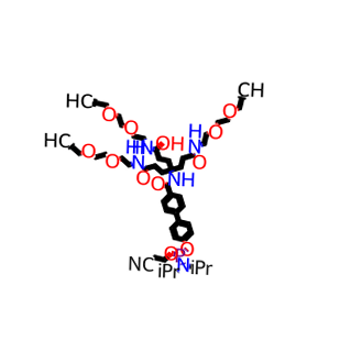 C#CCOCCOCCNC(=O)CCC(CCC(=O)NCCOCCOCC#C)(CCC(O)NCCOCCOCC#C)NC(=O)c1ccc(-c2ccc(OP(OCCC#N)N(C(C)C)C(C)C)cc2)cc1